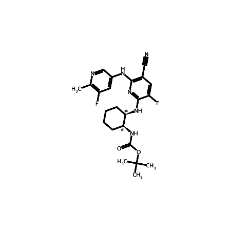 Cc1ncc(Nc2nc(N[C@@H]3CCCC[C@@H]3NC(=O)OC(C)(C)C)c(F)cc2C#N)cc1F